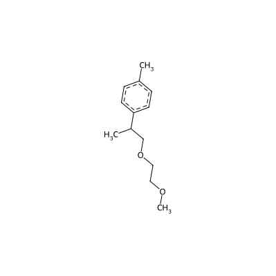 COCCOCC(C)c1ccc(C)cc1